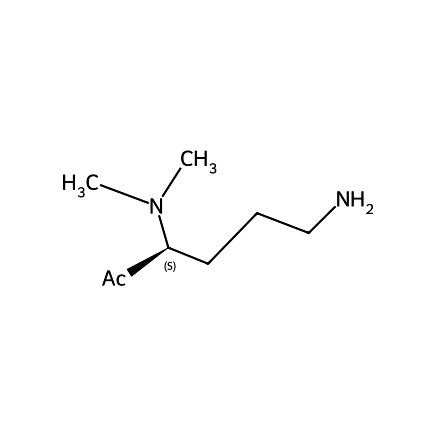 CC(=O)[C@H](CCCN)N(C)C